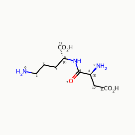 NCCC[C@@H](NC(=O)[C@@H](N)CC(=O)O)C(=O)O